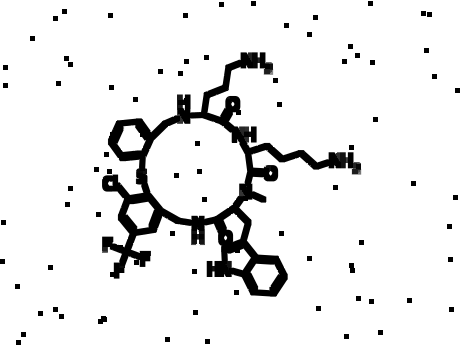 CN1C(=O)C(CCCCN)NC(=O)C(CCCN)NCc2ccccc2Sc2c(Cl)cc(C(F)(F)F)cc2CNC(=O)C1Cc1c[nH]c2ccccc12